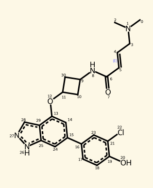 CN(C)C/C=C/C(=O)NC1CC(Oc2cc(-c3ccc(O)c(Cl)c3)cc3[nH]ncc23)C1